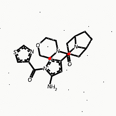 Nc1cc(C2CC3CCC(C2)N3C(=O)N2CCOCC2)nn1C(=O)c1cscn1